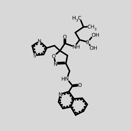 CC(C)CC(NC(=O)C1(Cc2cscn2)CC(CNC(=O)c2nccc3ccccc23)=NO1)B(O)O